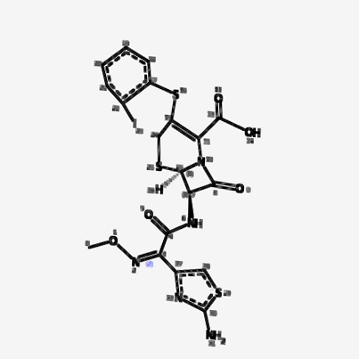 CO/N=C(\C(=O)N[C@@H]1C(=O)N2C(C(=O)O)=C(Sc3ccccc3I)CS[C@H]12)c1csc(N)n1